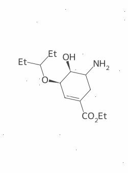 CCOC(=O)C1=C[C@@H](OC(CC)CC)[C@@H](O)C(N)C1